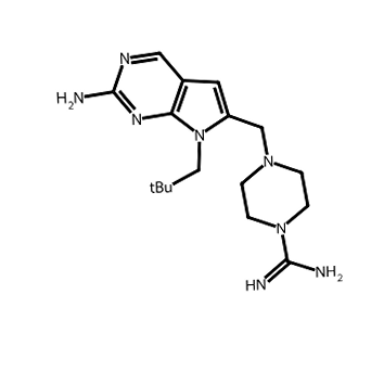 CC(C)(C)Cn1c(CN2CCN(C(=N)N)CC2)cc2cnc(N)nc21